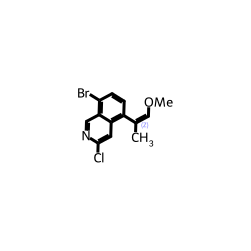 CO/C=C(/C)c1ccc(Br)c2cnc(Cl)cc12